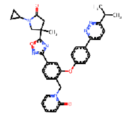 CC(C)c1ccc(-c2ccc(Oc3cc(-c4noc(C5(C)CC(=O)N(C6CC6)C5)n4)ccc3Cn3ccccc3=O)cc2)nn1